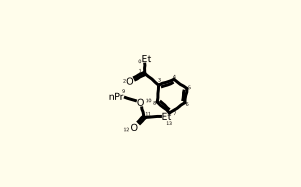 CCC(=O)c1ccccc1.CCCOC(=O)CC